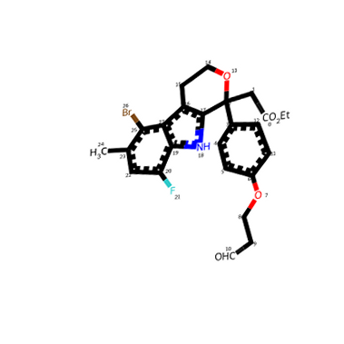 CCOC(=O)CC1(c2ccc(OCCC=O)cc2)OCCc2c1[nH]c1c(F)cc(C)c(Br)c21